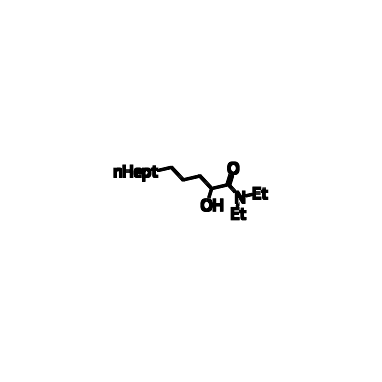 CCCCCCCCCCC(O)C(=O)N(CC)CC